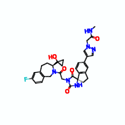 CNC(=O)Cn1cc(-c2ccc3c(c2)CC[C@@]32NC(=O)N(CC(=O)N3Cc4ccc(F)cc4CC[C@H]3C3(O)CC3)C2=O)cn1